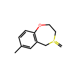 C=S1CCOc2ccc(C)cc2C1